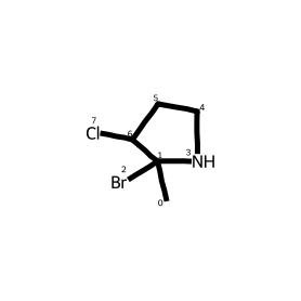 CC1(Br)NCCC1Cl